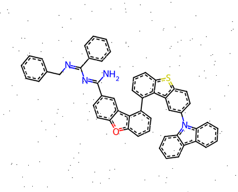 N/C(=N\C(=N/Cc1ccccc1)c1ccccc1)c1ccc2oc3cccc(-c4cccc5sc6ccc(-n7c8ccccc8c8ccccc87)cc6c45)c3c2c1